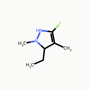 CCC1C(C)=C(F)NN1C